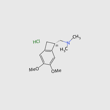 COc1cc2c(cc1OC)[C@@H](CN(C)C)C2.Cl